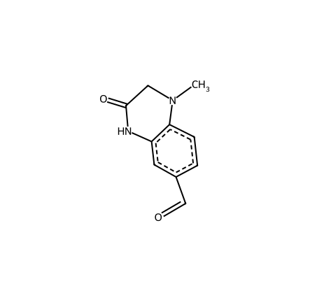 CN1CC(=O)Nc2cc(C=O)ccc21